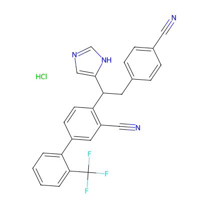 Cl.N#Cc1ccc(CC(c2cnc[nH]2)c2ccc(-c3ccccc3C(F)(F)F)cc2C#N)cc1